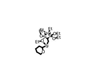 CCO[Si](OCC)(OCC)C(C[Si](C)(C)C1CCCCO1)[Si](OCC)(OCC)OCC